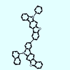 c1ccc(-n2c3ccccc3c3cc4c(cc32)oc2ccc(-c3ccc5c(c3)c3cc6c(cc3n5-c3cccc5ccccc35)oc3ccccc36)cc24)cc1